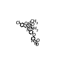 CCn1c(=O)n(N)/c(=N\c2ccc(Oc3ccnc(C(=O)N=O)c3)cc2)n(Cc2ccc(Cl)cc2)c1=O